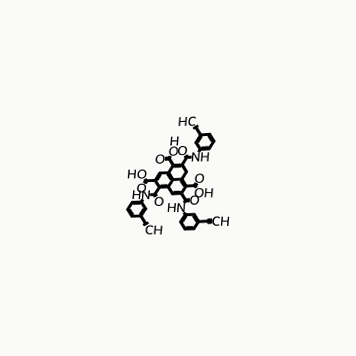 C#Cc1cccc(NC(=O)C2=C(C(=O)O)c3cc(C(=O)O)c(C(=O)Nc4cccc(C#C)c4)c4cc(C(=O)Nc5cccc(C#C)c5)c(C(=O)O)c(c34)C2)c1